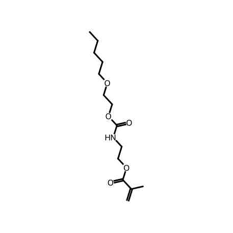 C=C(C)C(=O)OCCNC(=O)OCCOCCCCC